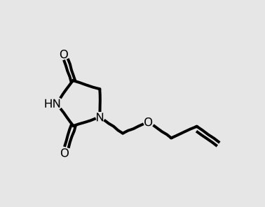 C=CCOCN1CC(=O)NC1=O